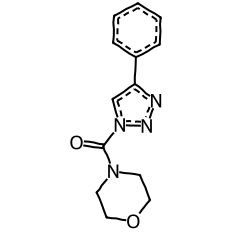 O=C(N1CCOCC1)n1cc(-c2ccccc2)nn1